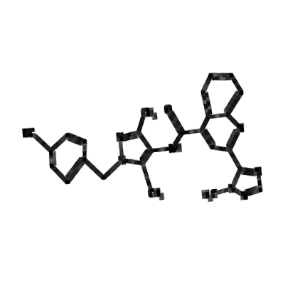 Cc1nn(Cc2ccc(C#N)cc2)c(C)c1NC(=O)c1cc(-c2ncnn2C)nc2ccccc12